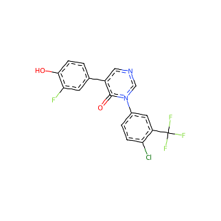 O=c1c(-c2ccc(O)c(F)c2)cncn1-c1ccc(Cl)c(C(F)(F)F)c1